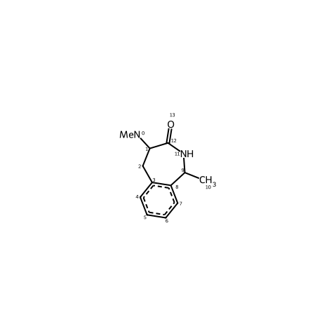 CNC1Cc2ccccc2C(C)NC1=O